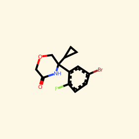 O=C1COCC(c2cc(Br)ccc2F)(C2CC2)N1